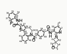 Cc1cnc(N2CC3(CCOC3)C2)c(NC(=O)c2ccc(C(=O)N3CCc4cc(C(=O)Nc5c(C)cccc5F)sc4-c4ccccc43)cc2)c1